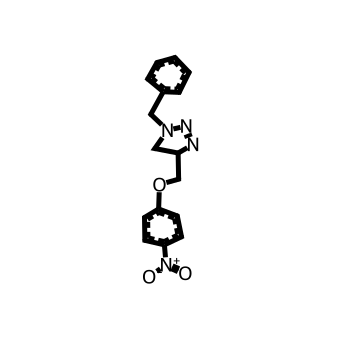 O=[N+]([O-])c1ccc(OCC2CN(Cc3ccccc3)N=N2)cc1